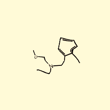 CCN(COC)Cc1ccccc1C